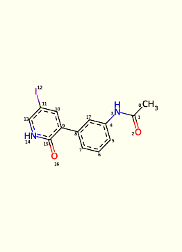 CC(=O)Nc1cccc(-c2cc(I)c[nH]c2=O)c1